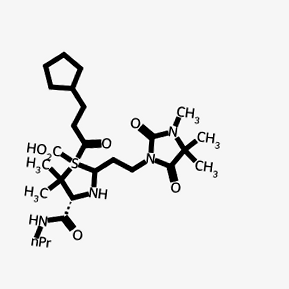 CCCNC(=O)[C@H]1NC(CCN2C(=O)N(C)C(C)(C)C2=O)S(C(=O)O)(C(=O)CCC2CCCC2)C1(C)C